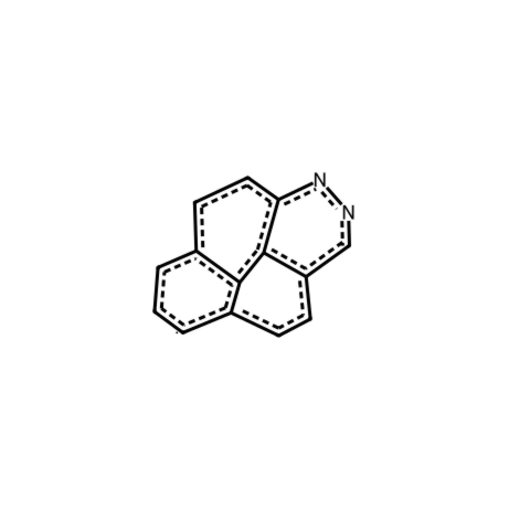 [c]1ccc2ccc3nncc4ccc1c2c43